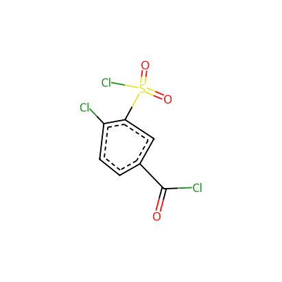 O=C(Cl)c1ccc(Cl)c(S(=O)(=O)Cl)c1